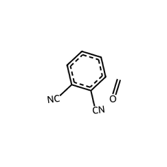 C=O.N#Cc1ccccc1C#N